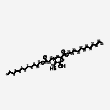 CCCCCCCCCCCCOC(=O)CCN(CCC(=O)OCCCCCCCCCCCC)C(CS)C(=O)O